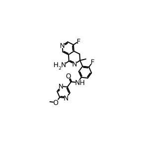 COc1cnc(C(=O)Nc2ccc(F)c(C3(C)Cc4c(F)cncc4C(N)=N3)c2)cn1